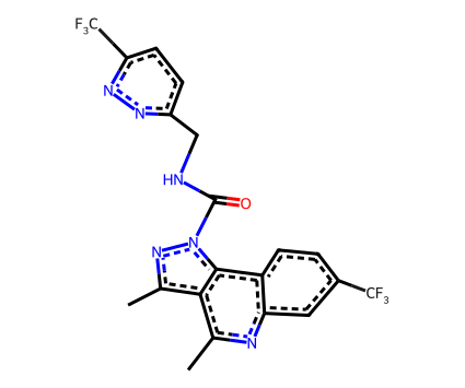 Cc1nc2cc(C(F)(F)F)ccc2c2c1c(C)nn2C(=O)NCc1ccc(C(F)(F)F)nn1